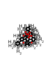 Bc1c(B)c(B)c(-c2c(B)c(B)c(-c3c(B)c(B)c(B)c(B)c3-c3c4c(B)c(B)c(B)c(B)c4c(-c4c(B)c(B)c5oc6c(B)c(B)c(B)c(B)c6c5c4B)c4c(B)c(B)c(B)c(B)c34)c(B)c2B)c(B)c1B